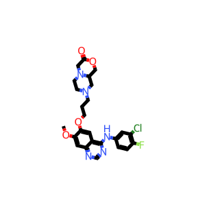 COc1cc2ncnc(Nc3ccc(F)c(Cl)c3)c2cc1OCCCN1CCN2CC(=O)OCC2C1